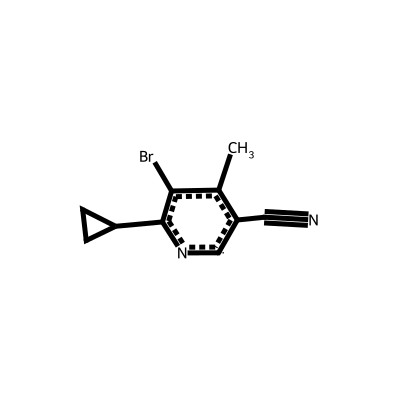 Cc1c(C#N)[c]nc(C2CC2)c1Br